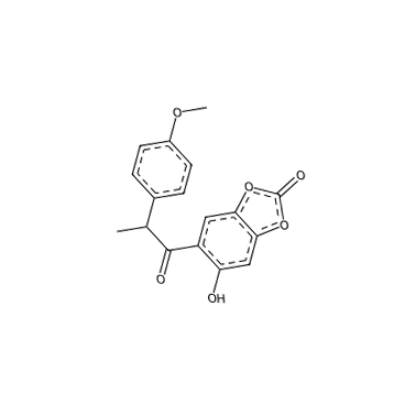 COc1ccc(C(C)C(=O)c2cc3oc(=O)oc3cc2O)cc1